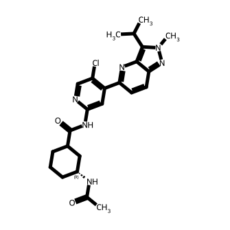 CC(=O)N[C@@H]1CCCC(C(=O)Nc2cc(-c3ccc4nn(C)c(C(C)C)c4n3)c(Cl)cn2)C1